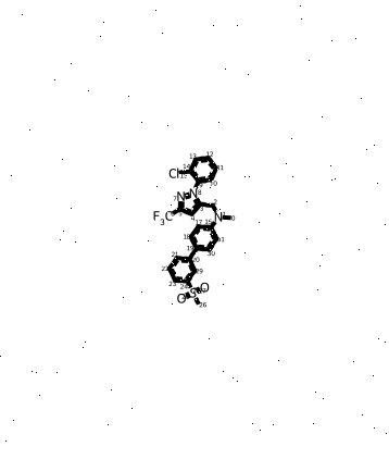 CN(Cc1cc(C(F)(F)F)nn1-c1ccccc1Cl)c1ccc(-c2cccc(S(C)(=O)=O)c2)cc1